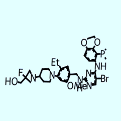 CCc1cc(CNc2ncc(Br)c(Nc3ccc4c(c3P(C)C)OCCO4)n2)c(OC)cc1N1CCC(N2CC(F)(CO)C2)CC1